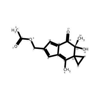 CC(=O)OCC1=CC2=C(C)C3(CC3)[C@@](C)(O)C(=O)C2=C1